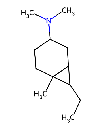 CCC1C2CC(N(C)C)CCC12C